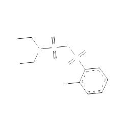 CCN(CC)S(=O)(=O)NS(=O)(=O)c1ccccc1N